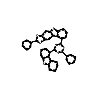 c1ccc(-c2nc(-c3cccc4oc5cc6oc(-c7ccccc7)nc6cc5c34)nc(-c3cccc4sc5ccccc5c34)n2)cc1